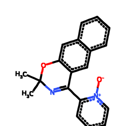 CC1(C)N=C(c2cccc[n+]2[O-])c2cc3ccccc3cc2O1